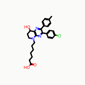 Cc1ccc(-c2nc3c(nc2-c2ccc(Cl)cc2)N(CCCCCCC(=O)O)CCC3O)cc1